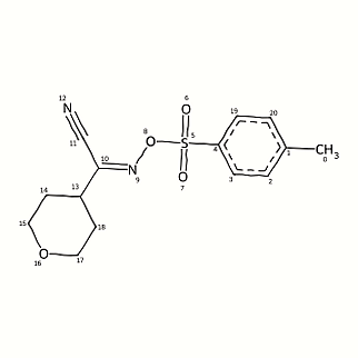 Cc1ccc(S(=O)(=O)O/N=C(\C#N)C2CCOCC2)cc1